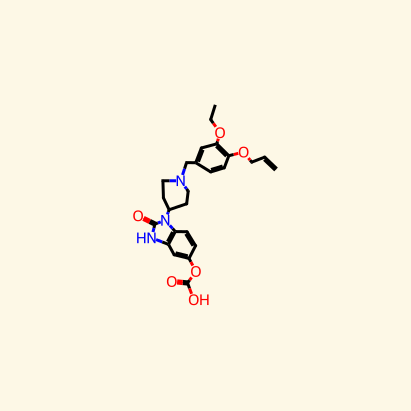 C=CCOc1ccc(CN2CCC(n3c(=O)[nH]c4cc(OC(=O)O)ccc43)CC2)cc1OCC